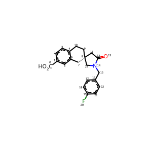 O=C(O)c1ccc2c(c1)C[C@]1(CC2)CC(=O)N(Cc2ccc(F)cc2)C1